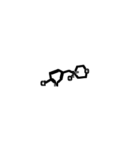 [O-][N+]1(Cc2ccc(Cl)nc2)CCOCC1